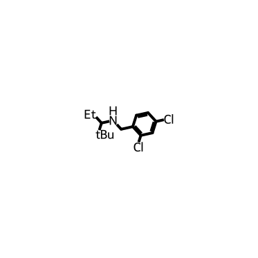 CCC(NCc1ccc(Cl)cc1Cl)C(C)(C)C